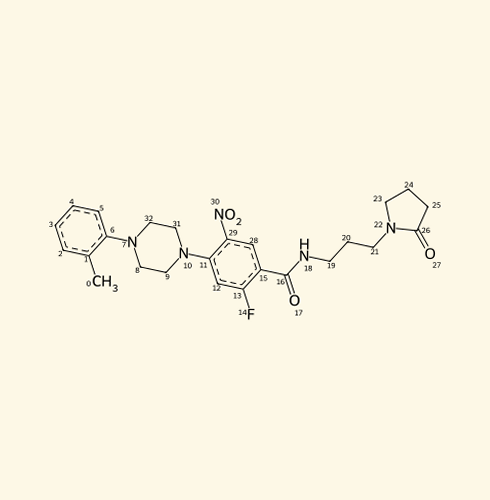 Cc1ccccc1N1CCN(c2cc(F)c(C(=O)NCCCN3CCCC3=O)cc2[N+](=O)[O-])CC1